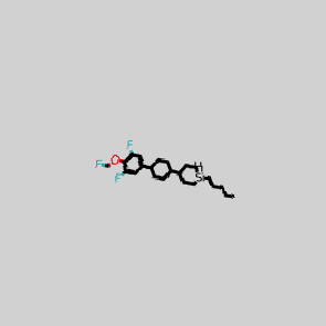 CCCCC[SiH]1CCC(C2CCC(c3cc(F)c(OCF)c(F)c3)CC2)CC1